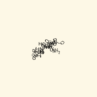 NC(=O)C[C@H](NC(=O)[C@H](CO)NC(=O)CNC(=O)CNC(=O)[C@@H]1CCC(=O)N1)C(=O)N[C@@H](Cc1ccccc1)C(=O)NCCc1ccccc1